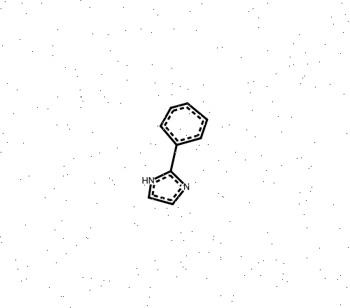 [c]1ccccc1-c1ncc[nH]1